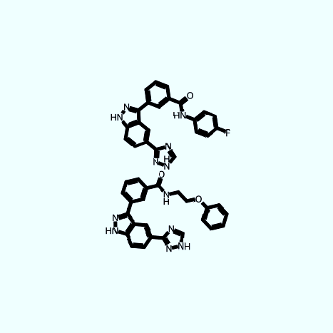 O=C(NCCOc1ccccc1)c1cccc(-c2n[nH]c3ccc(-c4nc[nH]n4)cc23)c1.O=C(Nc1ccc(F)cc1)c1cccc(-c2n[nH]c3ccc(-c4nc[nH]n4)cc23)c1